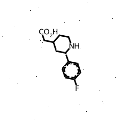 O=C(O)CC1CCNC(c2ccc(F)cc2)C1